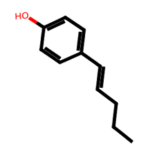 CCC/C=C/c1ccc(O)cc1